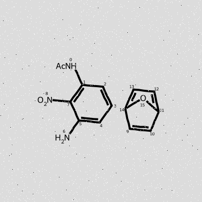 CC(=O)Nc1cccc(N)c1[N+](=O)[O-].c1cc2ccc1o2